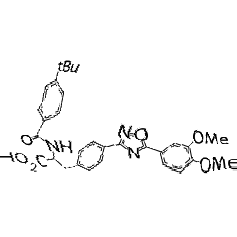 COc1ccc(-c2nc(-c3ccc(CC(NC(=O)c4ccc(C(C)(C)C)cc4)C(=O)O)cc3)no2)cc1OC